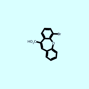 O=C(O)C1=Cc2ccccc2Oc2c(Br)cccc21